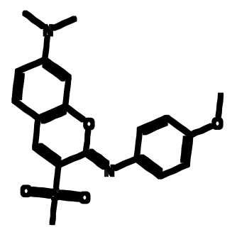 COc1ccc(N=c2oc3cc(N(C)C)ccc3cc2S(C)(=O)=O)cc1